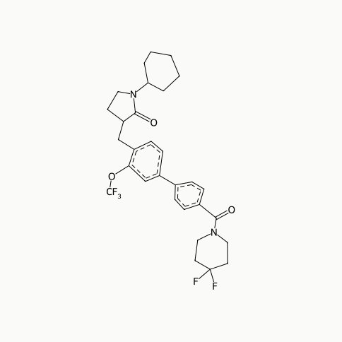 O=C(c1ccc(-c2ccc(CC3CCN(C4CCCCC4)C3=O)c(OC(F)(F)F)c2)cc1)N1CCC(F)(F)CC1